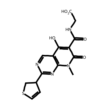 Cn1c(=O)c(C(=O)NCC(=O)O)c(O)c2cnc(C3C=CSC3)nc21